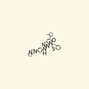 CC1=C(c2cc3cnc(Nc4ccc(N5CCN6CCCC6C5)cc4)nc3n(C3CSc4ccccc4C3)c2=O)CCC1